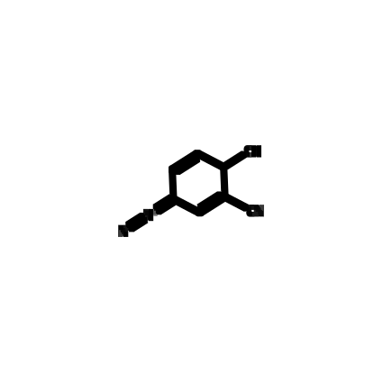 N#CC1=CC(=[N+]=[N-])C=CC1C#N